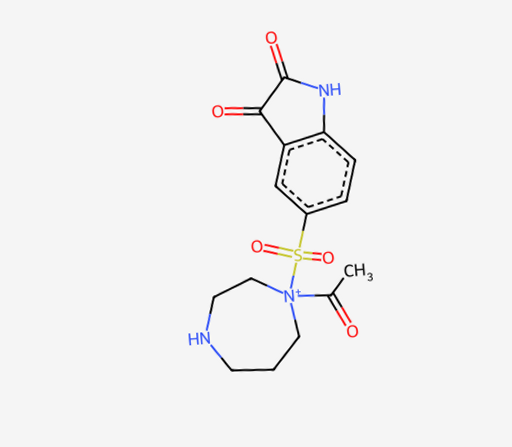 CC(=O)[N+]1(S(=O)(=O)c2ccc3c(c2)C(=O)C(=O)N3)CCCNCC1